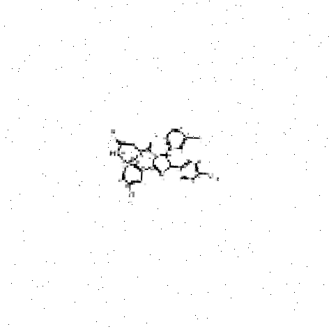 Cc1cccc(C2C(c3ccc(C(F)(F)F)cc3)N=C(c3cccc(Cl)c3)N2C(=O)N2CCNC(=O)C2)c1